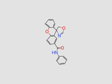 O=C(Nc1ccccc1)c1ccc2c(c1)C1(COC=N1)c1ccccc1O2